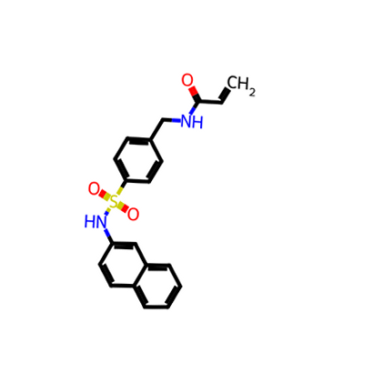 C=CC(=O)NCc1ccc(S(=O)(=O)Nc2ccc3ccccc3c2)cc1